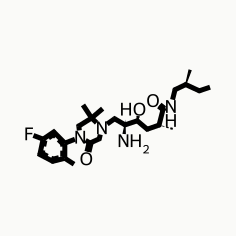 CC[C@H](C)CNC(=O)[C@H](C)C[C@H](O)[C@@H](N)CN1CC(=O)N(c2cc(F)ccc2C)CC1(C)C